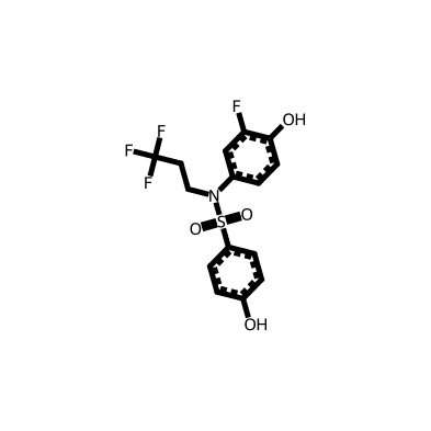 O=S(=O)(c1ccc(O)cc1)N(CCC(F)(F)F)c1ccc(O)c(F)c1